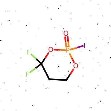 O=P1(I)OCCC(F)(F)O1